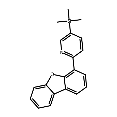 C[Si](C)(C)c1ccc(-c2cccc3c2oc2ccccc23)nc1